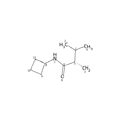 CC(C)[C@H](C)C(=O)NC1CCC1